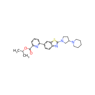 CC(C)OC(=O)c1cccc(-c2ccc3nc(N4CCC(N5CCCCC5)C4)sc3c2)n1